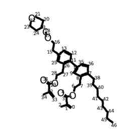 C=C(C)C(=O)OCCc1cc(-c2ccc(CCOCC3CCOCC3)cc2CCOC(=O)C(=C)C)ccc1CCCCCCCCC